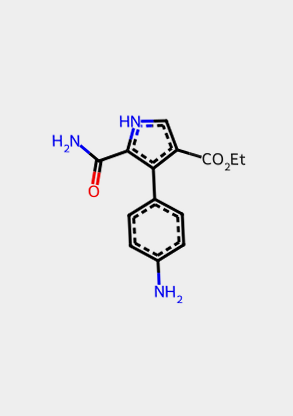 CCOC(=O)c1c[nH]c(C(N)=O)c1-c1ccc(N)cc1